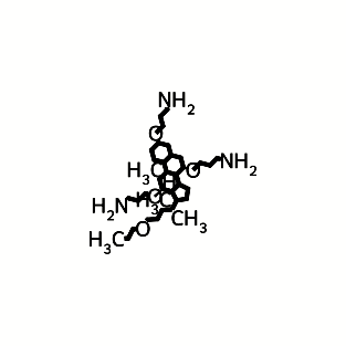 CCCOCCCC(C)C1CCC2C3[C@H](OCCCN)CC4C[C@H](OCCCN)CCC4(C)[C@H]3C[C@H](OCCCN)C12C